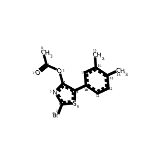 CC(=O)Oc1nc(Br)sc1-c1ccc(C)c(C)c1